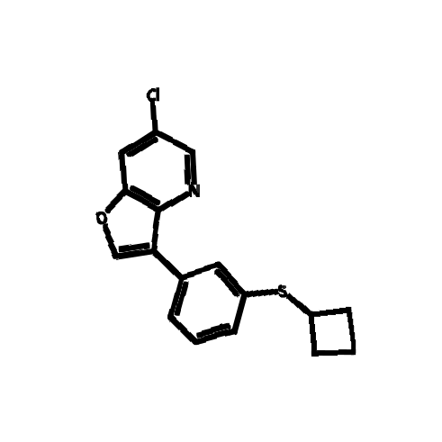 Clc1cnc2c(-c3cccc(SC4CCC4)c3)coc2c1